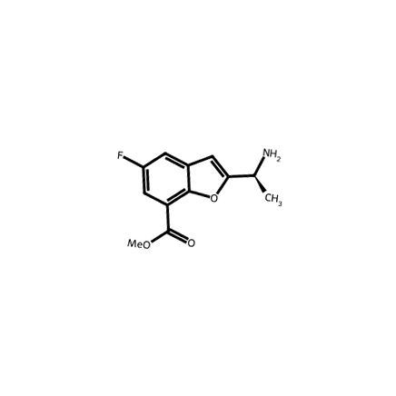 COC(=O)c1cc(F)cc2cc([C@H](C)N)oc12